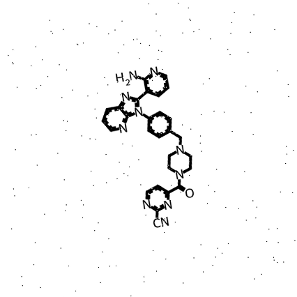 N#Cc1nccc(C(=O)N2CCN(Cc3ccc(-n4c(-c5cccnc5N)nc5cccnc54)cc3)CC2)n1